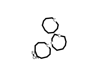 C1CCCCCCCCC1.C1CCCCCCCCC1.C1CCCCCCCCC1.CCO